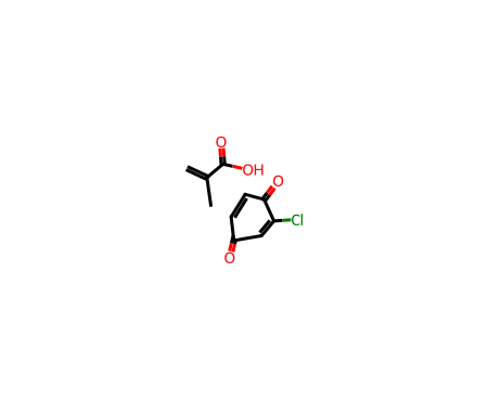 C=C(C)C(=O)O.O=C1C=CC(=O)C(Cl)=C1